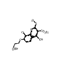 CCOC(=O)c1c(SCC)nc2c(Cl)c(OCCOC)ccc2c1O